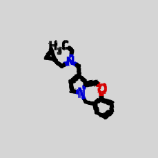 CCN(CC1=CCN2Cc3ccccc3OC=C12)CC1CC1